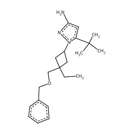 CCC1(COCc2ccccc2)CC(n2nc(N)cc2C(C)(C)C)C1